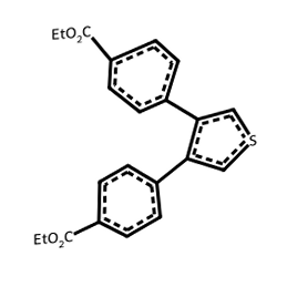 CCOC(=O)c1ccc(-c2cscc2-c2ccc(C(=O)OCC)cc2)cc1